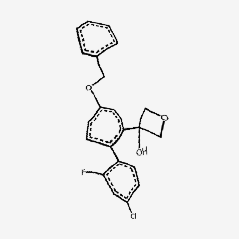 OC1(c2cc(OCc3ccccc3)ccc2-c2ccc(Cl)cc2F)COC1